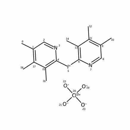 Cc1cnc([I+]c2ncc(C)c(C)c2C)c(C)c1C.[O-][Cl+3]([O-])([O-])[O-]